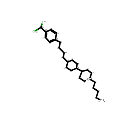 CCCCC[SiH]1CCC(C2CCC(CCCCc3ccc(C(F)Cl)cc3)CC2)CC1